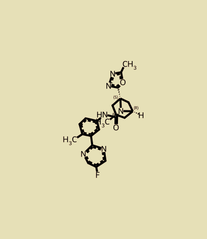 Cc1nnc([C@]23C[C@H](C)C[C@H](C2)N3C(=O)Nc2ccc(C)c(-c3ncc(F)cn3)c2)o1